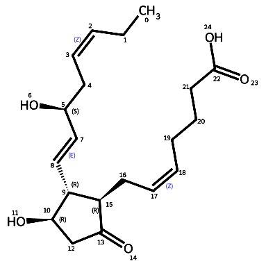 CC/C=C\C[C@H](O)/C=C/[C@H]1[C@H](O)CC(=O)[C@@H]1C/C=C\CCCC(=O)O